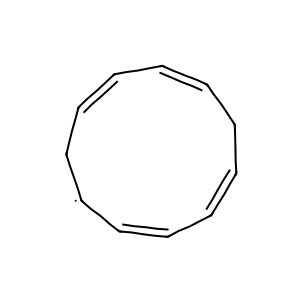 [CH]1/C=C\C=C/C/C=C\C=C/C1